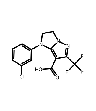 O=C(O)c1c(C(F)(F)F)nn2c1N(c1cccc(Cl)c1)CC2